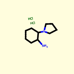 Cl.Cl.NC1CCCCC1N1CCCC1